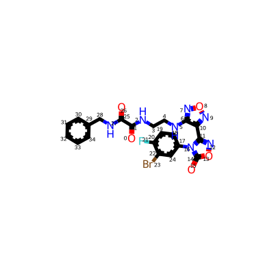 O=C(NCCNc1nonc1-c1noc(=O)n1-c1ccc(F)c(Br)c1)C(=O)NCc1ccccc1